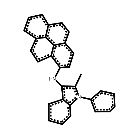 Cc1c(Nc2ccc3ccc4cccc5ccc2c3c45)c2ccccc2n1-c1ccccc1